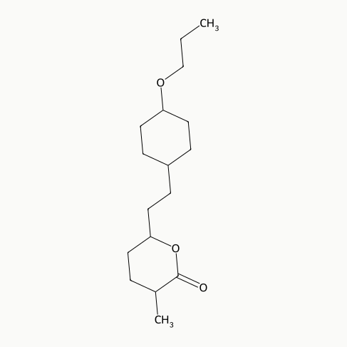 CCCOC1CCC(CCC2CCC(C)C(=O)O2)CC1